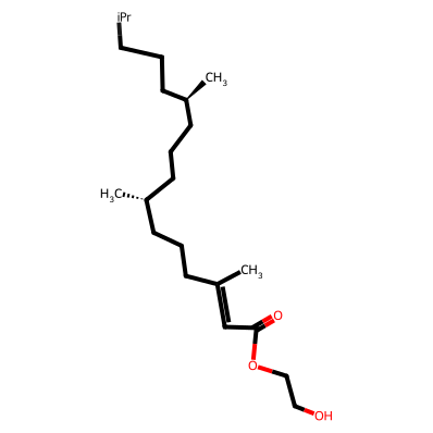 C/C(=C\C(=O)OCCO)CCC[C@H](C)CCC[C@H](C)CCCC(C)C